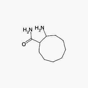 NC(=O)C1CCCCCCCC1N